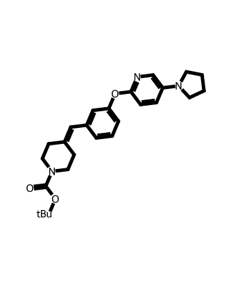 CC(C)(C)OC(=O)N1CCC(=Cc2cccc(Oc3ccc(N4CCCC4)cn3)c2)CC1